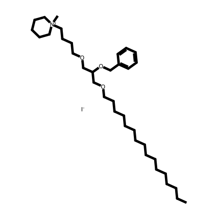 CCCCCCCCCCCCCCCCOCC(COCCCC[N+]1(C)CCCCC1)OCc1ccccc1.[I-]